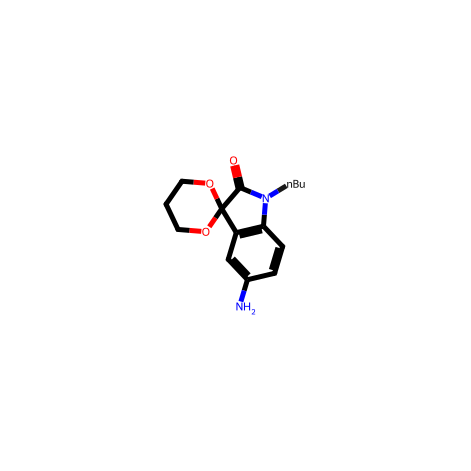 CCCCN1C(=O)C2(OCCCO2)c2cc(N)ccc21